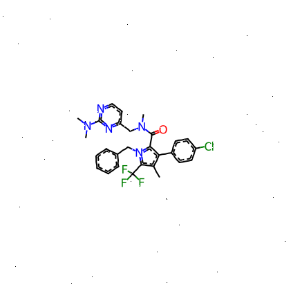 Cc1c(-c2ccc(Cl)cc2)c(C(=O)N(C)Cc2ccnc(N(C)C)n2)n(Cc2ccccc2)c1C(F)(F)F